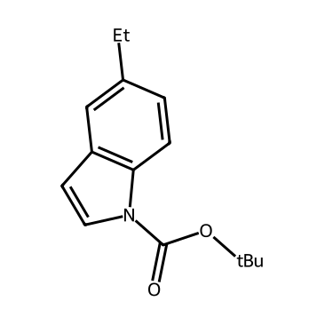 CCc1ccc2c(ccn2C(=O)OC(C)(C)C)c1